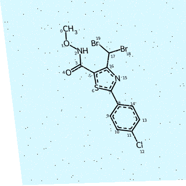 CONC(=O)c1sc(-c2ccc(Cl)cc2)nc1C(Br)Br